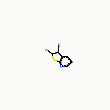 CCC1Sc2ncccc2C1CC